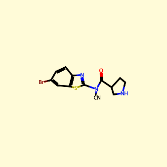 N#CN(C(=O)C1CCNC1)c1nc2ccc(Br)cc2s1